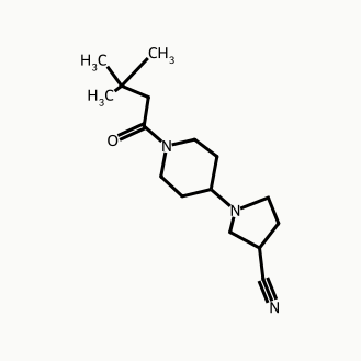 CC(C)(C)CC(=O)N1CCC(N2CCC(C#N)C2)CC1